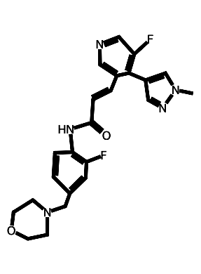 Cn1cc(-c2c(F)cncc2C=CC(=O)Nc2ccc(CN3CCOCC3)cc2F)cn1